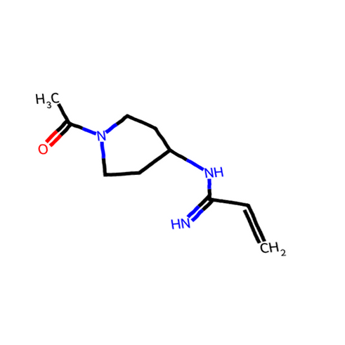 C=CC(=N)NC1CCN(C(C)=O)CC1